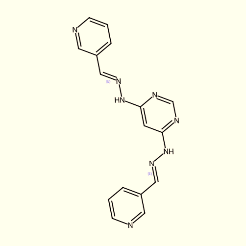 C(=N\Nc1cc(N/N=C/c2cccnc2)ncn1)/c1cccnc1